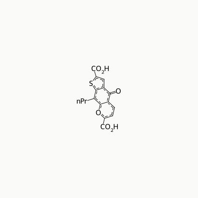 CCCc1c2oc(C(=O)O)ccc-2c(=O)c2cc(C(=O)O)sc12